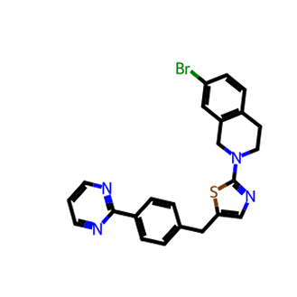 Brc1ccc2c(c1)CN(c1ncc(Cc3ccc(-c4ncccn4)cc3)s1)CC2